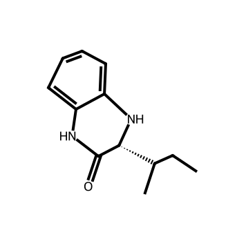 CCC(C)[C@H]1Nc2ccccc2NC1=O